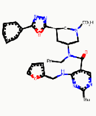 CC(C)CN(C(=O)c1cnc(C(C)(C)C)nc1NCc1ccco1)[C@H]1C[C@@H](c2nnc(-c3ccccc3)o2)CN(C(=O)O)C1